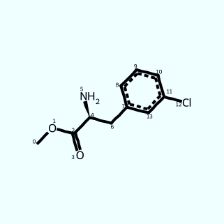 COC(=O)[C@@H](N)Cc1cccc(Cl)c1